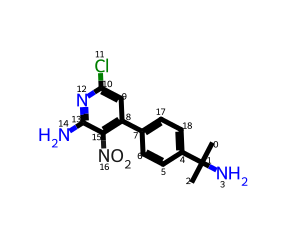 CC(C)(N)c1ccc(-c2cc(Cl)nc(N)c2[N+](=O)[O-])cc1